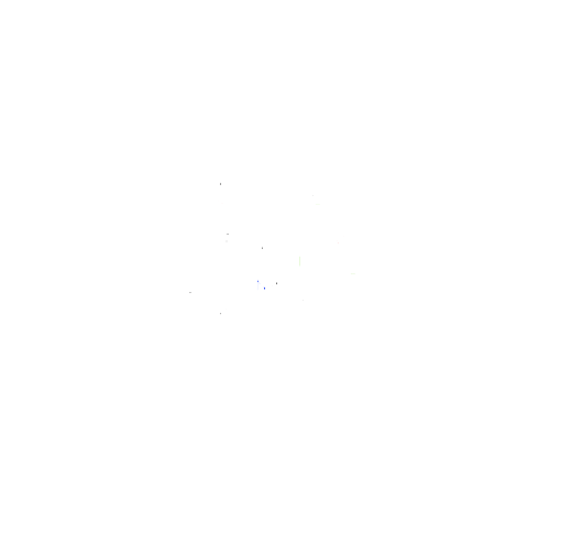 F[B-](F)(F)F.O=C1C=CC2=CC=CCN2C1